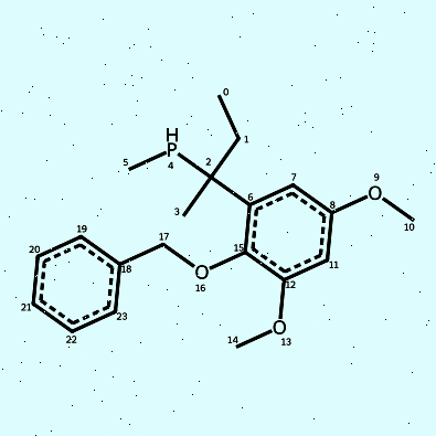 CCC(C)(PC)c1cc(OC)cc(OC)c1OCc1ccccc1